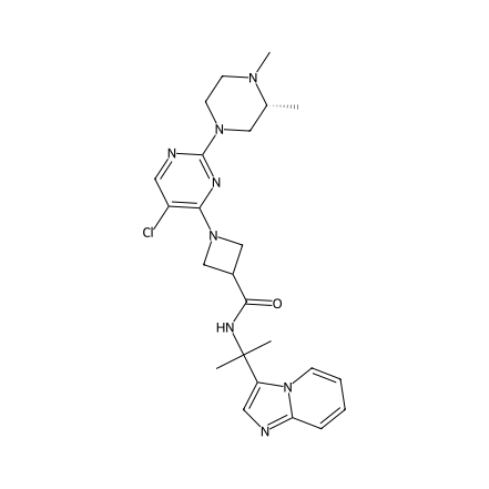 C[C@@H]1CN(c2ncc(Cl)c(N3CC(C(=O)NC(C)(C)c4cnc5ccccn45)C3)n2)CCN1C